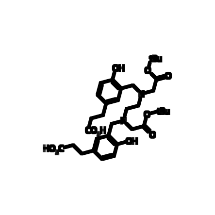 CC(C)(C)OC(=O)CN(CCN(CC(=O)OC(C)(C)C)Cc1cc(CCC(=O)O)ccc1O)Cc1cc(CCC(=O)O)ccc1O